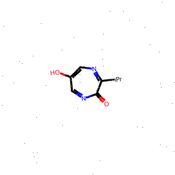 CC(C)c1ncc(O)cnc1=O